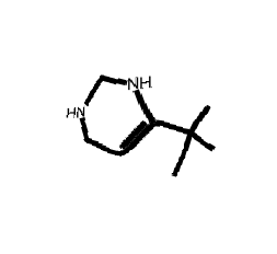 CC(C)(C)C1=CCNCN1